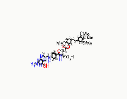 COc1ccc(CCc2cc(OC)c(OC)c(OC)c2)cc1OC(=O)CC[C@H](NC(=O)c1ccc(NCc2cnc3nc(N)nc(O)c3n2)cc1)C(=O)O